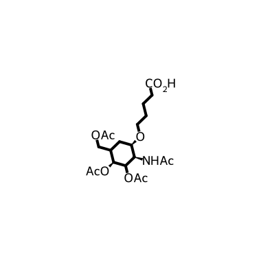 CC(=O)N[C@H]1C(OC(C)=O)[C@@H](OC(C)=O)C(COC(C)=O)C[C@H]1OCCCCC(=O)O